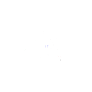 Clc1cc2cc-2c1Cl.O=C1CCC(=O)N1